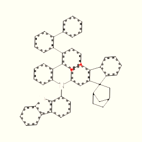 c1ccc(-c2ccccc2-c2ccccc2-c2ccccc2N(c2ccc3c(c2)C2(CC4CCC2C4)c2ccccc2-3)c2cccc3c2oc2ccccc23)cc1